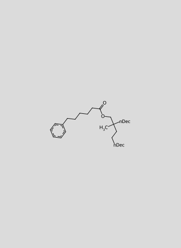 CCCCCCCCCCCCC(C)(CCCCCCCCCC)COC(=O)CCCCCc1ccccc1